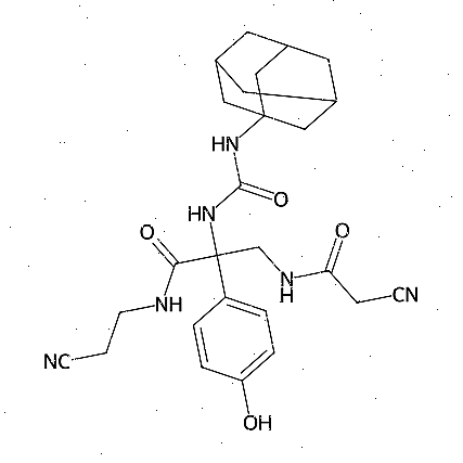 N#CCCNC(=O)C(CNC(=O)CC#N)(NC(=O)NC12CC3CC(CC(C3)C1)C2)c1ccc(O)cc1